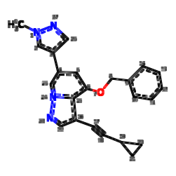 Cn1cc(-c2cc(OCc3ccccc3)c3c(C#CC4CC4)cnn3c2)cn1